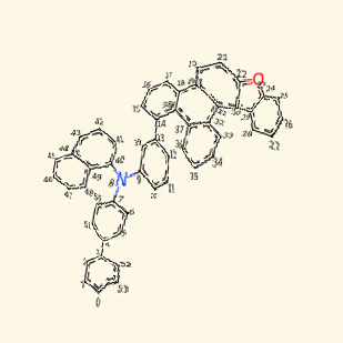 c1ccc(-c2ccc(N(c3cccc(-c4cccc5c6ccc7oc8ccccc8c7c6c6ccccc6c45)c3)c3cccc4ccccc34)cc2)cc1